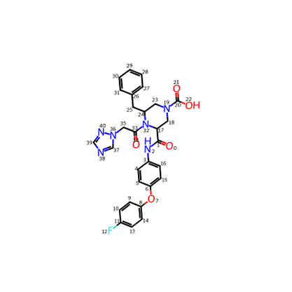 O=C(Nc1ccc(Oc2ccc(F)cc2)cc1)C1CN(C(=O)O)CC(Cc2ccccc2)N1C(=O)Cn1cncn1